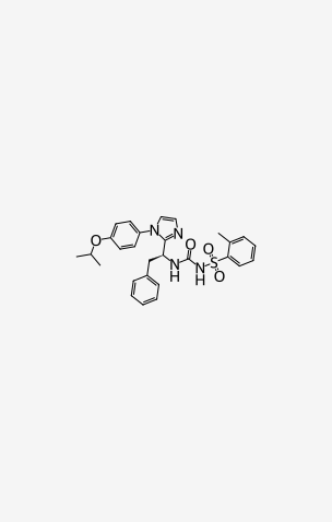 Cc1ccccc1S(=O)(=O)NC(=O)N[C@@H](Cc1ccccc1)c1nccn1-c1ccc(OC(C)C)cc1